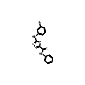 O=C(Nc1ccccc1)c1nnc(Nc2cccc(Br)c2)o1